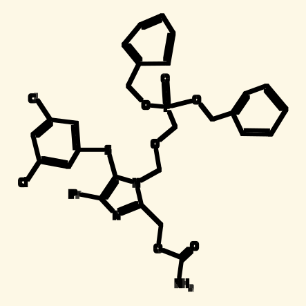 CC(C)c1nc(COC(N)=O)n(COCP(=O)(OCc2ccccc2)OCc2ccccc2)c1Sc1cc(Cl)cc(Cl)c1